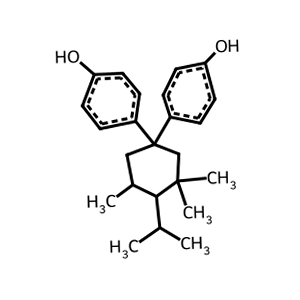 CC(C)C1C(C)CC(c2ccc(O)cc2)(c2ccc(O)cc2)CC1(C)C